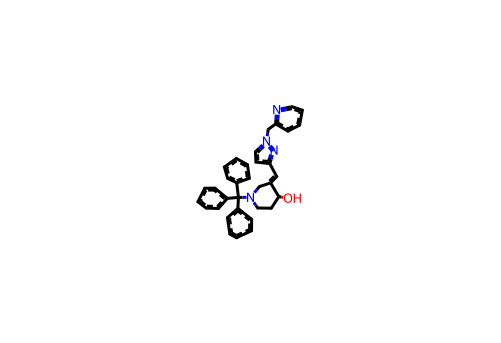 OC1CCN(C(c2ccccc2)(c2ccccc2)c2ccccc2)C/C1=C\c1ccn(Cc2ccccn2)n1